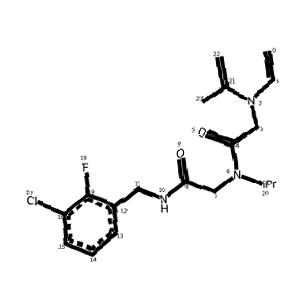 C=CN(CC(=O)N(CC(=O)NCc1cccc(Cl)c1F)C(C)C)C(=C)C